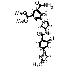 COC(OC)c1cc(C(N)=O)c(F)c(N2CC[C@@H](NC(=O)c3ccc(-n4cnc(C)n4)cc3Cl)C2)n1